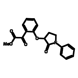 COC(=O)C(=O)c1ccccc1OC1CCN(c2ccccc2)C1=O